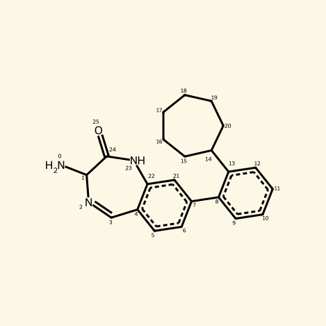 NC1N=Cc2ccc(-c3ccccc3C3CCCCCC3)cc2NC1=O